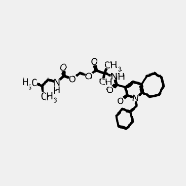 CC(C)CNC(=O)OCOC(=O)C(C)(C)NC(=O)c1cc2c(n(CC3CCCCC3)c1=O)CCCCCC2